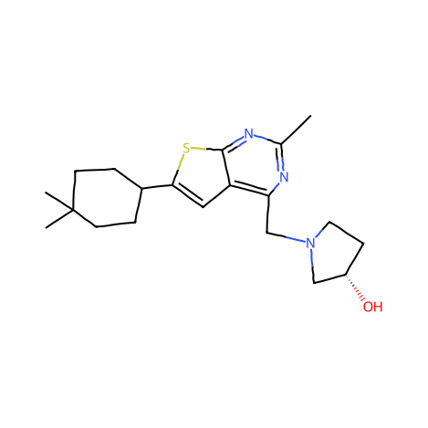 Cc1nc(CN2CC[C@H](O)C2)c2cc(C3CCC(C)(C)CC3)sc2n1